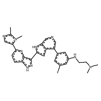 Cc1ncc(-c2ccc3[nH]nc(-c4cc5c(-c6cc(F)cc(NCCN(C)C)c6)cncc5[nH]4)c3n2)n1C